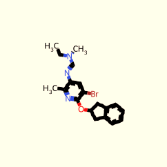 CCN(C)C=Nc1cc(Br)c(OC2Cc3ccccc3C2)nc1C